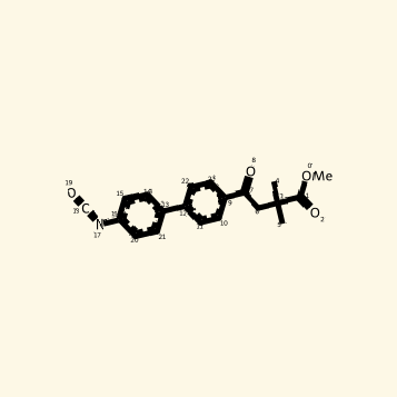 COC(=O)C(C)(C)CC(=O)c1ccc(-c2ccc(N=C=O)cc2)cc1